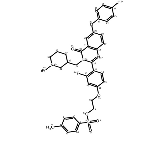 Cc1ccc(S(=O)(=O)OCCOc2ccc(-c3nc4ccc(Oc5ccc(F)cn5)cc4c(=O)n3CC3CCCN(C(C)C)C3)c(F)c2)cc1